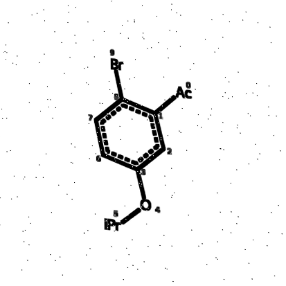 CC(=O)c1cc(OC(C)C)ccc1Br